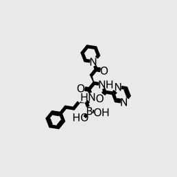 O=C(N[C@H](CC(=O)N1CCCCC1)C(=O)N[C@@H](CCCc1ccccc1)B(O)O)c1cnccn1